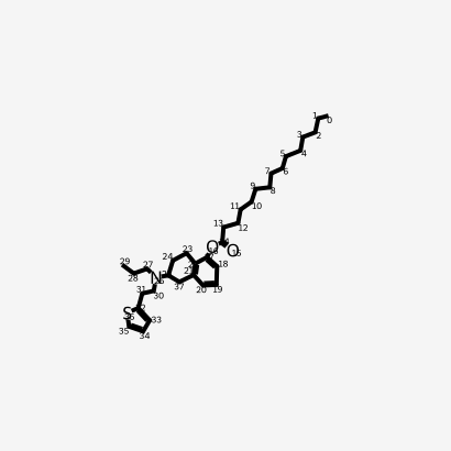 CCCCCCCCCCCCCCC(=O)Oc1cccc2c1CCC(N(CCC)CCc1cccs1)C2